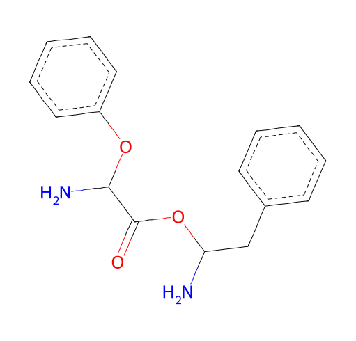 NC(Cc1ccccc1)OC(=O)C(N)Oc1ccccc1